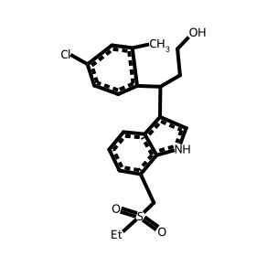 CCS(=O)(=O)Cc1cccc2c(C(CCO)c3ccc(Cl)cc3C)c[nH]c12